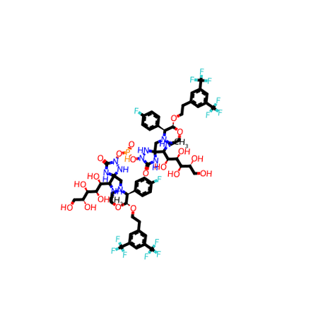 CNC([C@H](O)[C@@H](O)[C@H](O)[C@H](O)CO)C1(CN2CCO[C@@H](OCCc3cc(C(F)(F)F)cc(C(F)(F)F)c3)[C@@H]2c2ccc(F)cc2)NC(=O)N(O[PH](=O)ON2NC(CN3CCO[C@@H](OCCc4cc(C(F)(F)F)cc(C(F)(F)F)c4)[C@@H]3c3ccc(F)cc3)(C(NC)[C@H](O)[C@@H](O)[C@H](O)[C@H](O)CO)NC2=O)N1